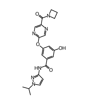 CC(C)n1ccc(NC(=O)c2cc(O)cc(Oc3cnc(C(=O)N4CCC4)cn3)c2)n1